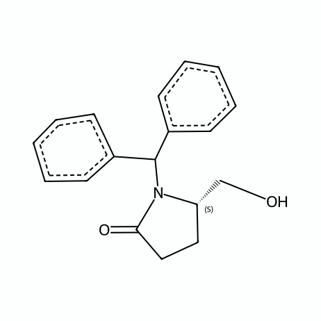 O=C1CC[C@@H](CO)N1C(c1ccccc1)c1ccccc1